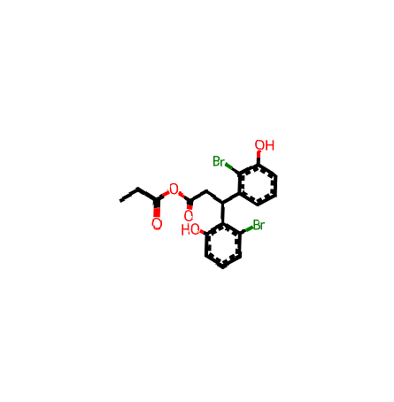 CCC(=O)OC(=O)CC(c1cccc(O)c1Br)c1c(O)cccc1Br